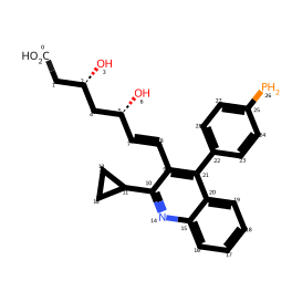 O=C(O)C[C@H](O)C[C@H](O)/C=C/c1c(C2CC2)nc2ccccc2c1-c1ccc(P)cc1